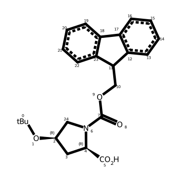 CC(C)(C)O[C@@H]1C[C@H](C(=O)O)N(C(=O)OCC2c3ccccc3-c3ccccc32)C1